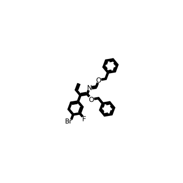 C=C/C(C1=CCC(Br)C(F)=C1)=C(\N=C\OCc1ccccc1)OCc1ccccc1